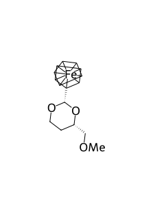 COC[C@@H]1CCO[C@H]([C]23[CH]4[CH]5[CH]6[CH]2[Fe]56432789[CH]3[CH]2[CH]7[CH]8[CH]39)O1